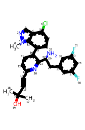 Cn1ncc2c(Cl)ccc(-c3ccc(C#CC(C)(C)O)nc3[C@@H](N)Cc3cc(F)cc(F)c3)c21